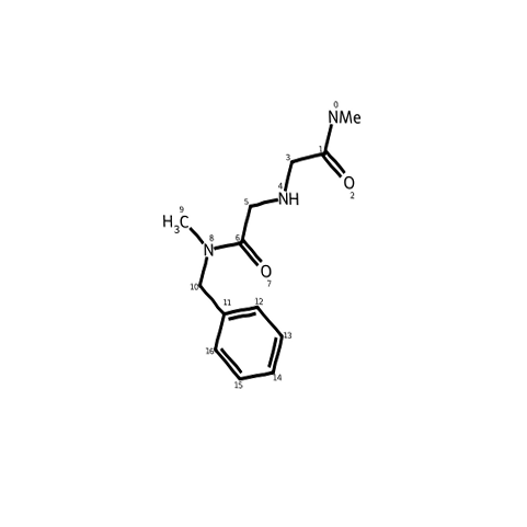 CNC(=O)CNCC(=O)N(C)Cc1ccccc1